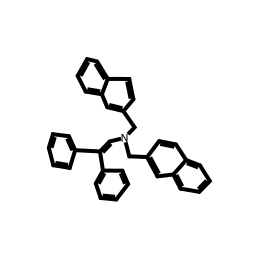 C(=C(c1ccccc1)c1ccccc1)N(Cc1ccc2ccccc2c1)Cc1ccc2ccccc2c1